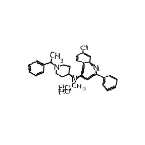 CC(c1ccccc1)N1CCC(N(C)c2cc(-c3ccccc3)nc3cc(Cl)ccc23)CC1.Cl.Cl